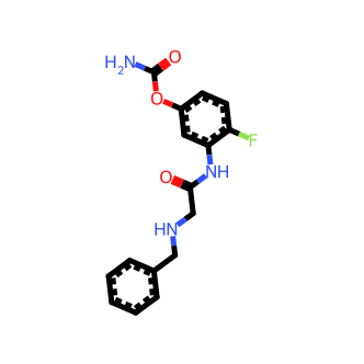 NC(=O)Oc1ccc(F)c(NC(=O)CNCc2ccccc2)c1